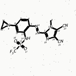 Cn1c(N=Nc2ccc(N3CC3)cc2NS(=O)(=O)C(F)(F)F)nc(C#N)c1C#N